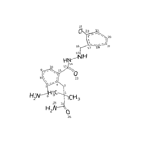 CC(C)(Cc1c(CN)cccc1C(=O)NNCc1ccccc1Cl)C(N)=O